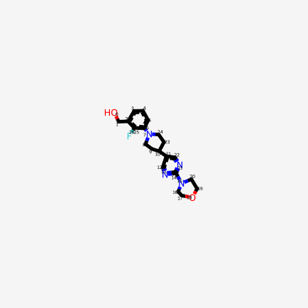 OCc1cccc(N2CCC(c3cnc(N4CCOCC4)nc3)CC2)c1F